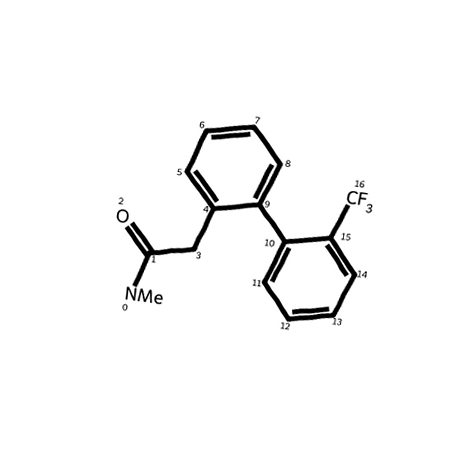 CNC(=O)Cc1ccccc1-c1ccccc1C(F)(F)F